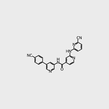 N#Cc1ccc(-c2cncc(NC(=O)c3ccnc(Nc4cccc(C#N)n4)c3)c2)cc1